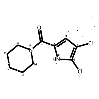 O=C(c1cc(Cl)c(Cl)[nH]1)N1CCCCC1